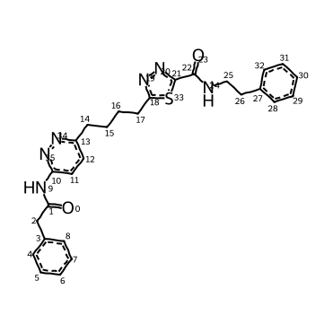 O=C(Cc1ccccc1)Nc1ccc(CCCCc2nnc(C(=O)NCCc3ccccc3)s2)nn1